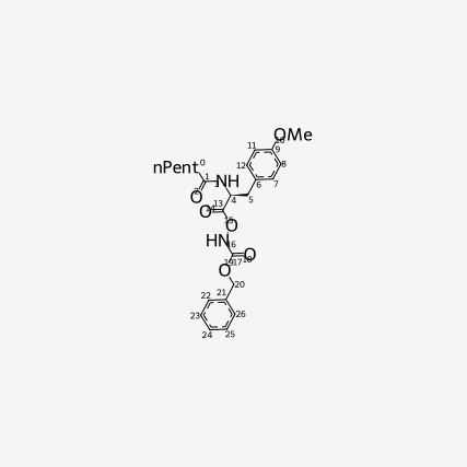 CCCCCC(=O)N[C@@H](Cc1ccc(OC)cc1)C(=O)ONC(=O)OCc1ccccc1